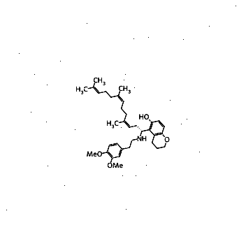 COc1ccc(CCN[C@H](CC=C(C)CCC=C(C)CCC=C(C)C)c2c(O)ccc3c2CCCO3)cc1OC